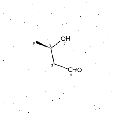 C[C@@H](O)CC=O